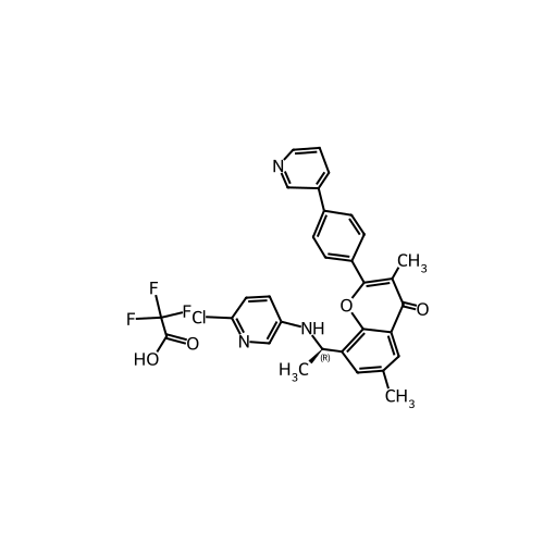 Cc1cc([C@@H](C)Nc2ccc(Cl)nc2)c2oc(-c3ccc(-c4cccnc4)cc3)c(C)c(=O)c2c1.O=C(O)C(F)(F)F